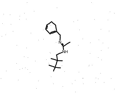 C/C(=N\CC1=CC=CCC1)NCC(C)(C)C(C)(C)C